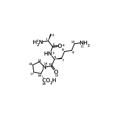 C[C@H](N)C(=O)N[C@@H](CCCCN)C(=O)N1CCC[C@H]1C(=O)O